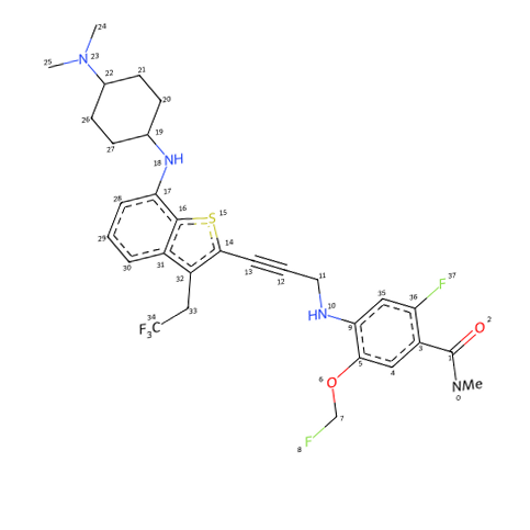 CNC(=O)c1cc(OCF)c(NCC#Cc2sc3c(NC4CCC(N(C)C)CC4)cccc3c2CC(F)(F)F)cc1F